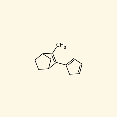 CC1=C(C2=CC=CC2)C2CCC1C2